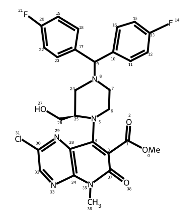 COC(=O)c1c(N2CCN(C(c3ccc(F)cc3)c3ccc(F)cc3)C[C@@H]2CO)c2nc(Cl)cnc2n(C)c1=O